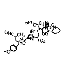 CCCOCN(C(=O)[C@@H](NC(=O)[C@H]1CCCCN1C)C(C)CC)[C@H](C[C@@H](OC(C)=O)c1nc(C(=O)N[C@@H](Cc2ccc(O)cc2)C[C@H](C)C=O)cs1)C(C)C